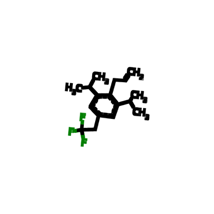 C=CCc1c(C(C)C)cc(CC(F)(F)F)cc1C(C)C